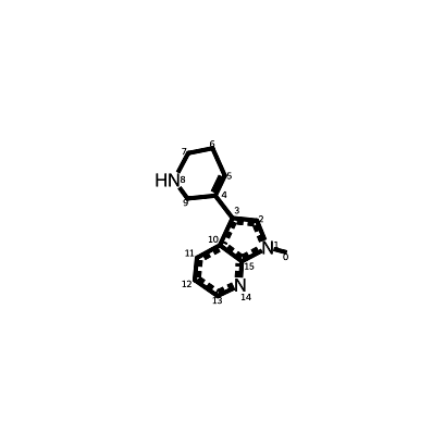 Cn1cc(C2=CCCNC2)c2cccnc21